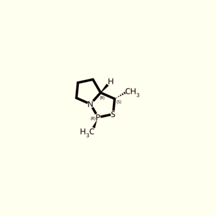 C[C@@H]1S[P@@](C)N2CCC[C@H]12